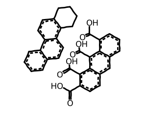 O=C(O)c1ccc2cc3cccc(C(=O)O)c3c(C(=O)O)c2c1C(=O)O.c1ccc2c(c1)ccc1c3c(ccc12)CCCC3